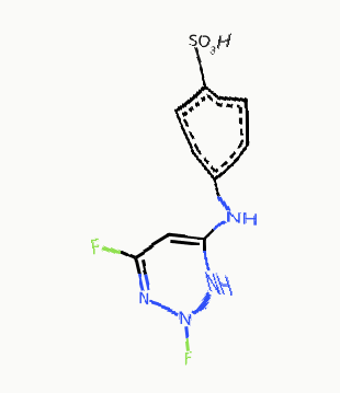 O=S(=O)(O)c1ccc(NC2=CC(F)=NN(F)N2)cc1